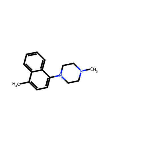 Cc1ccc(N2CCN(C)CC2)c2ccccc12